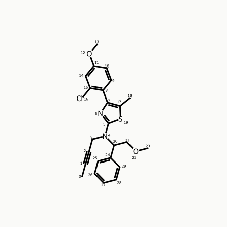 CC#CCN(c1nc(-c2ccc(OC)cc2Cl)c(C)s1)C(COC)c1ccccc1